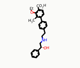 CCOc1c(C(=O)O)ccc(-c2ccc(CCNC[C@H](O)c3ccccc3)cc2)c1C